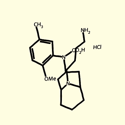 COc1ccc(C)cc1N(C(=O)O)C1CC2CCCC(C1)N2CCCCN.Cl